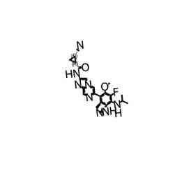 COc1c(F)c(NC(C)C)c2[nH]ncc2c1-c1cn2cc(NC(=O)[C@@H]3C[C@@H]3C#N)nc2cn1